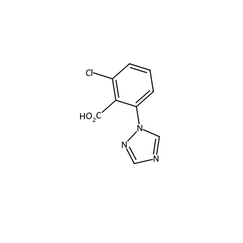 O=C(O)c1c(Cl)cccc1-n1cncn1